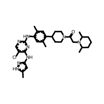 Cc1cc(Nc2nc(Nc3cc(C)c(C4CCN(C(=O)CN5C(C)CCCC5C)CC4)cc3C)ncc2Cl)n[nH]1